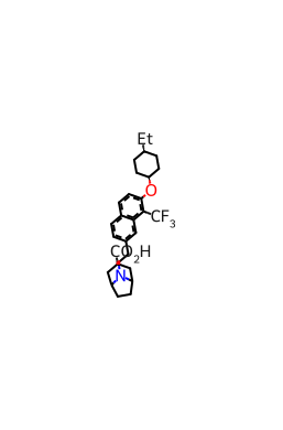 CC[C@H]1CC[C@@H](Oc2ccc3ccc(CCN4C5CCC4CC(C(=O)O)C5)cc3c2C(F)(F)F)CC1